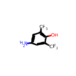 Nc1cc(C(F)(F)F)c(O)c(C(F)(F)F)c1